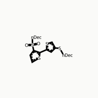 CCCCCCCCCCSc1csc(-c2sccc2S(=O)(=O)CCCCCCCCCC)c1